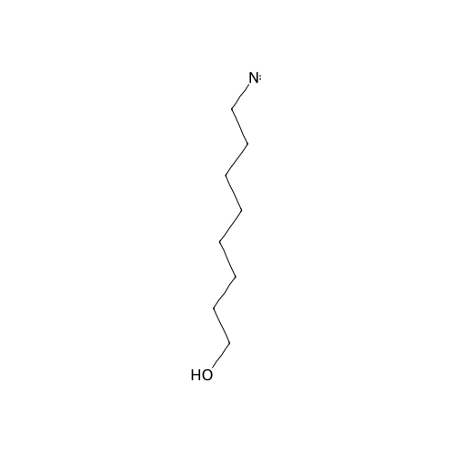 [N]CCCCCCCCO